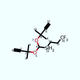 C#CC(C)(C)OC(OC(C)(C)C#C)[SiH2]CCC(F)(F)F